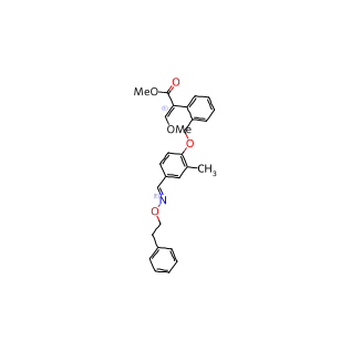 CO/C=C(/C(=O)OC)c1ccccc1COc1ccc(/C=N/OCCc2ccccc2)cc1C